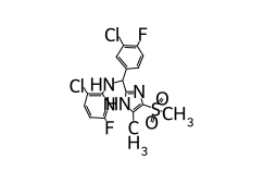 Cc1[nH]c(C(Nc2nc(F)ccc2Cl)c2ccc(F)c(Cl)c2)nc1S(C)(=O)=O